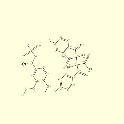 CCOc1cc([C@H](N)CS(C)(=O)=O)ccc1OC.Cc1ccc(C(=O)C(O)(C(=O)O)C(O)(C(=O)O)C(=O)c2ccc(C)cc2)cc1